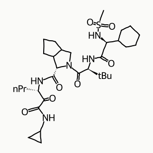 CCC[C@H](NC(=O)[C@@H]1C2CCCC2CN1C(=O)[C@@H](NC(=O)[C@@H](NS(C)(=O)=O)C1CCCCC1)C(C)(C)C)C(=O)C(=O)NC1CC1